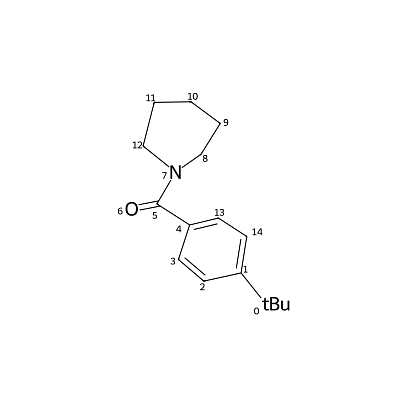 CC(C)(C)c1ccc(C(=O)N2CCCCC2)cc1